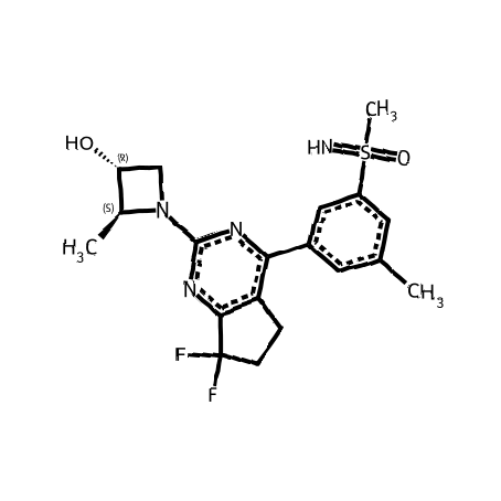 Cc1cc(-c2nc(N3C[C@@H](O)[C@@H]3C)nc3c2CCC3(F)F)cc(S(C)(=N)=O)c1